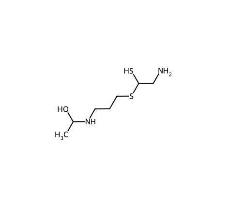 CC(O)NCCCSC(S)CN